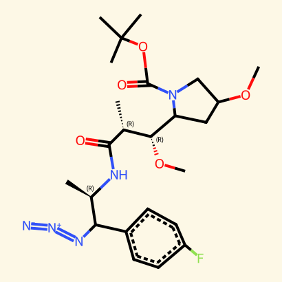 COC1CC([C@H](OC)[C@@H](C)C(=O)N[C@H](C)C(N=[N+]=[N-])c2ccc(F)cc2)N(C(=O)OC(C)(C)C)C1